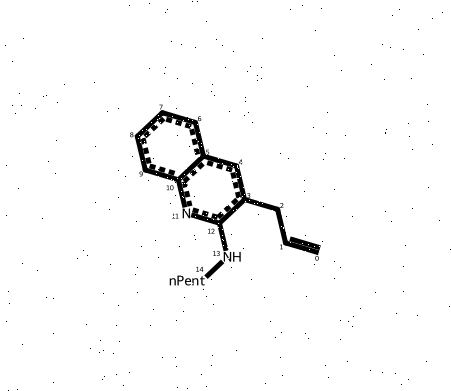 C=CCc1cc2ccccc2nc1NCCCCC